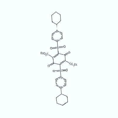 CCOC(=O)C1=C(S(=O)(=O)c2ccc(C3CCCCC3)cc2)C(=O)C(C(=O)OCC)=C(S(=O)(=O)c2ccc(C3CCCCC3)cc2)C1=O